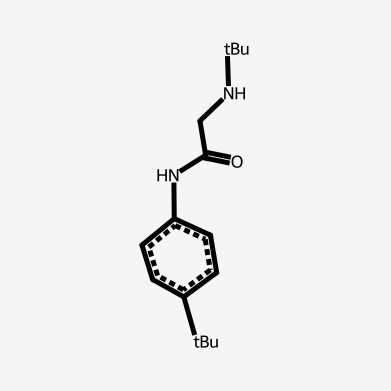 CC(C)(C)NCC(=O)Nc1ccc(C(C)(C)C)cc1